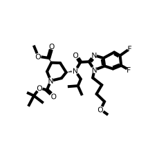 COCCCCn1c(C(=O)N(CC(C)C)[C@H]2C[C@@H](C(=O)OC)CN(C(=O)OC(C)(C)C)C2)nc2cc(F)c(F)cc21